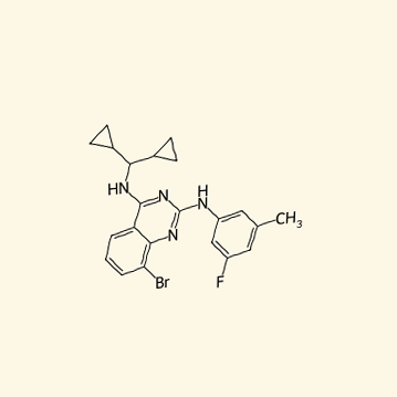 Cc1cc(F)cc(Nc2nc(NC(C3CC3)C3CC3)c3cccc(Br)c3n2)c1